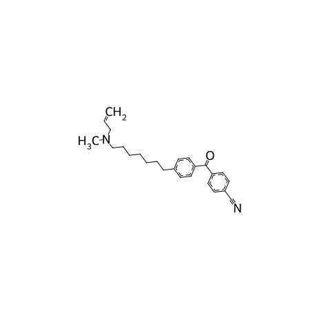 C=CCN(C)CCCCCCCc1ccc(C(=O)c2ccc(C#N)cc2)cc1